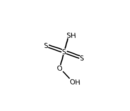 OOS(=S)(=S)S